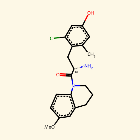 COc1ccc2c(c1)CCCN2C(=O)[C@@H](N)Cc1c(C)cc(O)cc1Cl